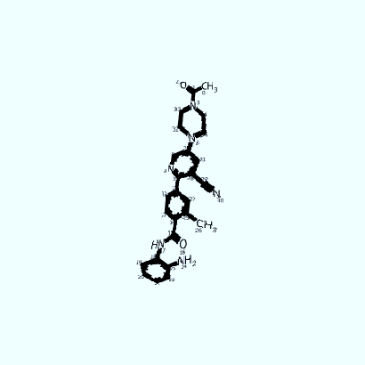 CC(=O)N1CCN(c2cnc(-c3ccc(C(=O)Nc4ccccc4N)c(C)c3)c(C#N)c2)CC1